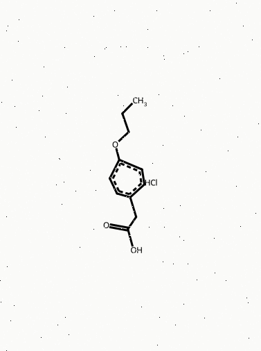 CCCOc1ccc(CC(=O)O)cc1.Cl